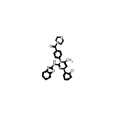 CC1=CC(c2ccccc2Cl)N=C(Nc2nc3ccccc3o2)N1c1ccc(C(=O)N2CCOCC2)cc1